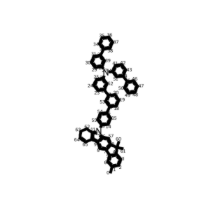 Cc1ccc2c(c1)-c1cc3c4c(n(-c5ccc(-c6cccc(-c7cccc(N(c8cccc(-c9ccccc9)c8)c8cccc(-c9ccccc9)c8)c7)c6)cc5)c3cc1C2(C)C)CCC=C4